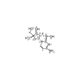 C[C@]1(CO)O[C@@H](n2ccc(N)n/c2=N\O)[C@@H](F)[C@@H]1O